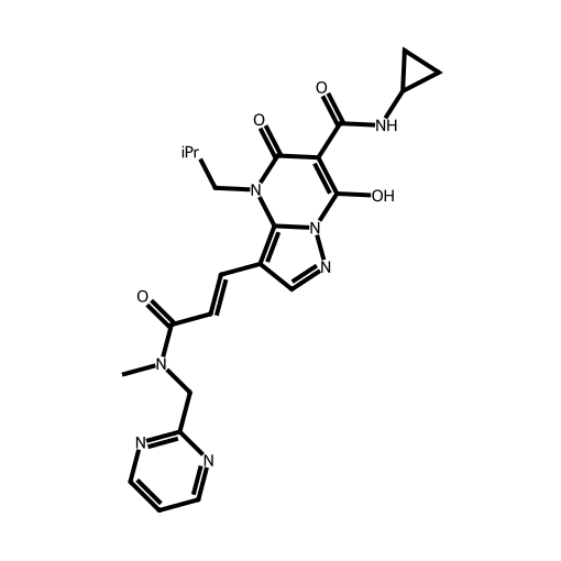 CC(C)Cn1c(=O)c(C(=O)NC2CC2)c(O)n2ncc(C=CC(=O)N(C)Cc3ncccn3)c12